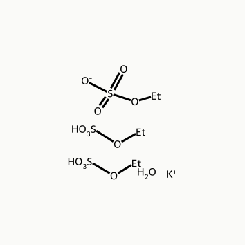 CCOS(=O)(=O)O.CCOS(=O)(=O)O.CCOS(=O)(=O)[O-].O.[K+]